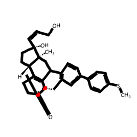 CSc1ccc(-c2ccc3c(c2)C[C@]24CCC(=O)C=C2CCC2=C4C3C[C@@]3(C)[C@H]2CC[C@@]3(O)/C=C\CO)cc1